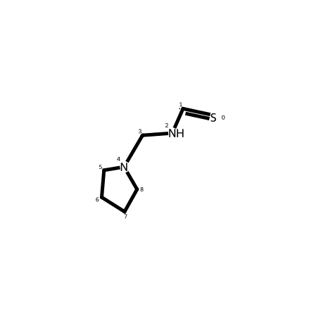 S=[C]NCN1CCCC1